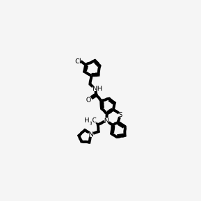 C[C@H](CN1CCCC1)N1c2ccccc2Sc2ccc(C(=O)NCc3cccc(Cl)c3)cc21